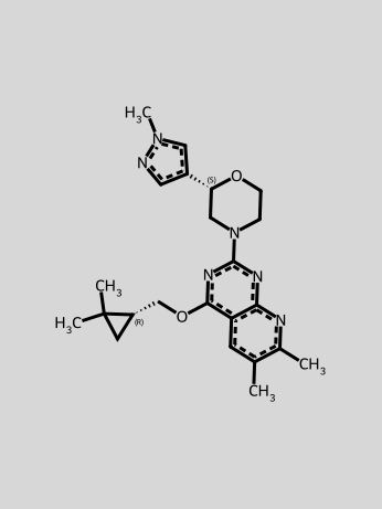 Cc1cc2c(OC[C@@H]3CC3(C)C)nc(N3CCO[C@@H](c4cnn(C)c4)C3)nc2nc1C